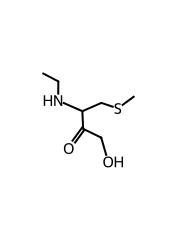 CCNC(CSC)C(=O)CO